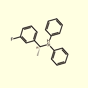 C[C@H](c1cccc(F)c1)[SiH](c1ccccc1)c1ccccc1